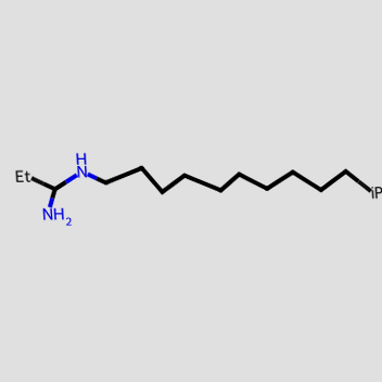 CCC(N)NCCCCCCCCCCC(C)C